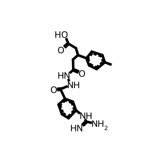 Cc1ccc(C(CC(=O)O)CC(=O)NNC(=O)c2cccc(NC(=N)N)c2)cc1